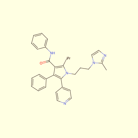 Cc1nccn1CCCn1c(-c2ccncc2)c(-c2ccccc2)c(C(=O)Nc2ccccc2)c1C(C)C